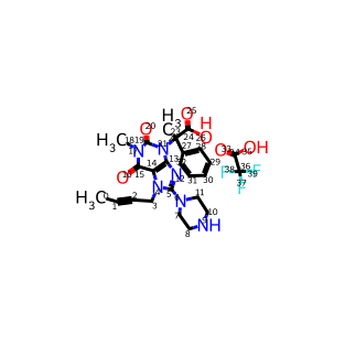 CC#CCn1c(N2CCNCC2)nc2c1c(=O)n(C)c(=O)n2C(C)(C(=O)O)c1ccccc1.O=C(O)C(F)(F)F